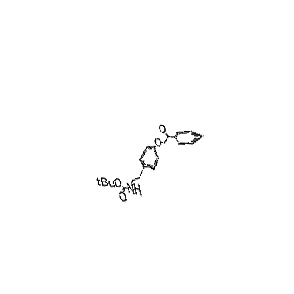 CC(C)(C)OC(=O)NCCc1ccc(OCC(=O)c2ccccc2)cc1